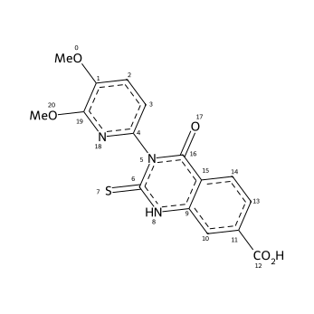 COc1ccc(-n2c(=S)[nH]c3cc(C(=O)O)ccc3c2=O)nc1OC